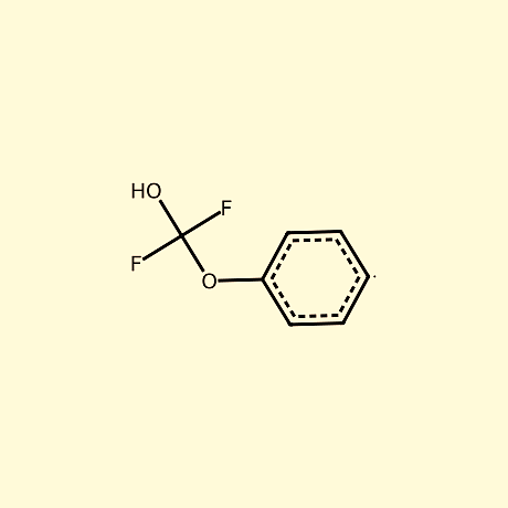 OC(F)(F)Oc1cc[c]cc1